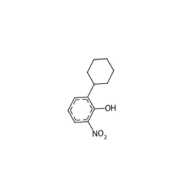 O=[N+]([O-])c1cccc(C2CCCCC2)c1O